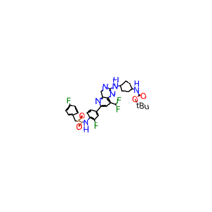 CC(C)(C)OC(=O)NC1CCC(Nc2ncc3nc(-c4ccc(NS(=O)(=O)Cc5ccc(F)cc5)c(F)c4)cc(C(F)F)c3n2)CC1